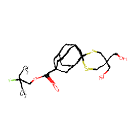 CC(C)(F)COC(=O)C12CC3CC(C1)C1(SCC(CO)(CO)CS1)C(C3)C2